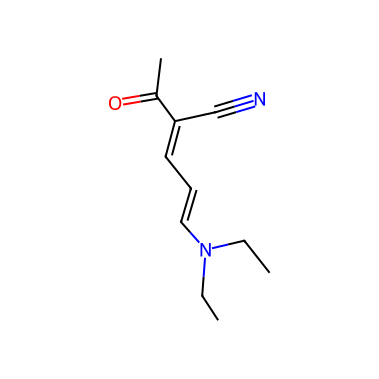 CCN(/C=C/C=C(\C#N)C(C)=O)CC